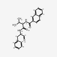 CC(C)C(NC(=O)c1ccc2ccccc2c1)C(=O)NC(C=O)Cc1ccccc1